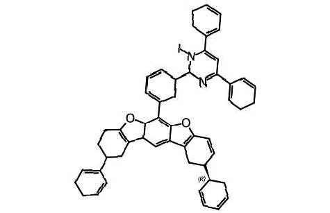 IN1C(C2=CC=CCC2)=CC(C2=CCCC=C2)=NC1C1C=CC=C(C2=c3oc4c(c3=CC3C5=C(CCC(C6=CCCC=C6)C5)OC23)CC([C@@H]2C=CC=CC2)C=C4)C1